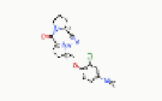 [C-]#[N+]c1ccc(OC[C@H]2CC[C@@H](C(=O)N3CCC[C@H]3C#N)N2)c(Cl)c1